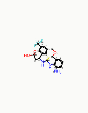 COCc1cccc(N)c1NC(=S)NC(CC(=O)O)c1cccc(C(F)(F)F)c1